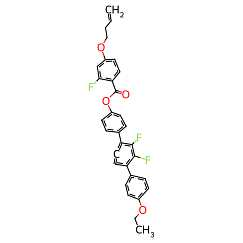 C=CCCOc1ccc(C(=O)Oc2ccc(-c3ccc(-c4ccc(OCC)cc4)c(F)c3F)cc2)c(F)c1